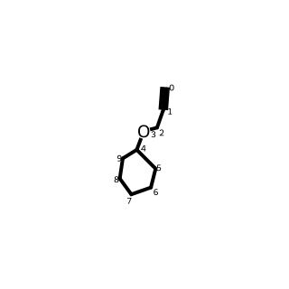 C#CCOC1CCCCC1